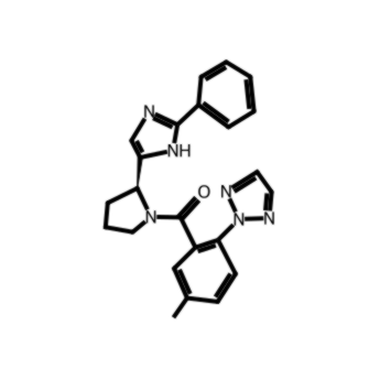 Cc1ccc(-n2nccn2)c(C(=O)N2CCC[C@H]2c2cnc(-c3ccccc3)[nH]2)c1